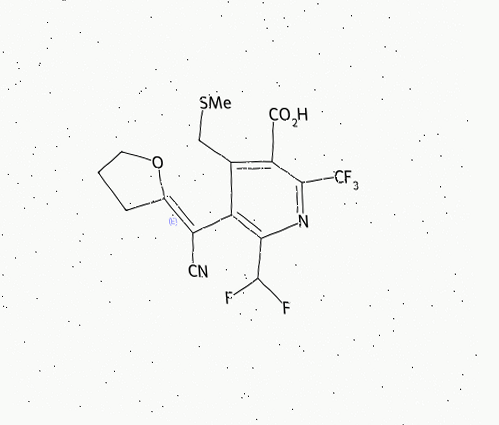 CSCc1c(C(=O)O)c(C(F)(F)F)nc(C(F)F)c1/C(C#N)=C1/CCCO1